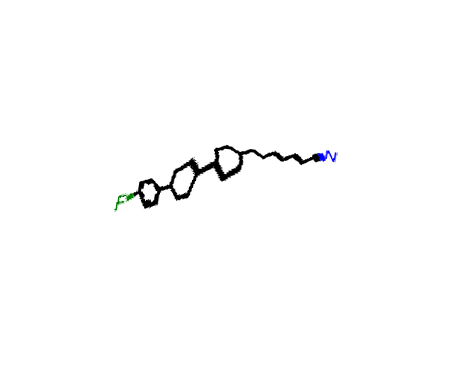 N#CC=CC=CCCC1CCC(C2CCC(c3ccc(F)cc3)CC2)CC1